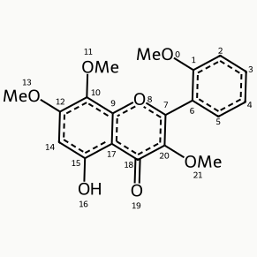 COc1ccccc1-c1oc2c(OC)c(OC)cc(O)c2c(=O)c1OC